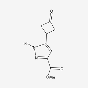 COC(=O)c1cc(C2CC(=O)C2)n(C(C)C)n1